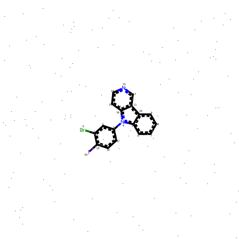 Brc1cc(-n2c3ccccc3c3cnccc32)ccc1I